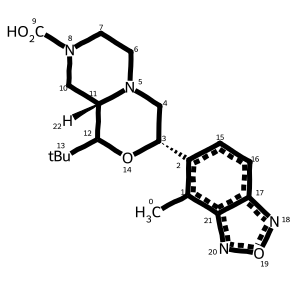 Cc1c([C@H]2CN3CCN(C(=O)O)C[C@H]3C(C(C)(C)C)O2)ccc2nonc12